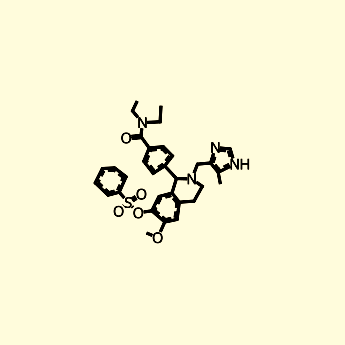 CCN(CC)C(=O)c1ccc(C2c3cc(OS(=O)(=O)c4ccccc4)c(OC)cc3CCN2Cc2nc[nH]c2C)cc1